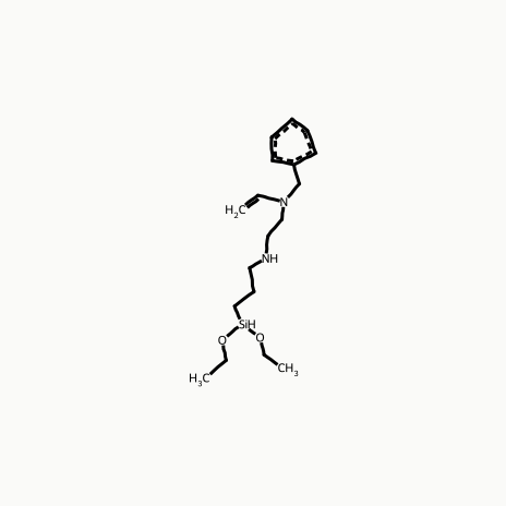 C=CN(CCNCCC[SiH](OCC)OCC)Cc1ccccc1